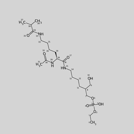 CCOP(=O)(O)OCC(CO)CCCCNC(=O)[C@H](CCCCNC(=O)C(C)C)NC(C)=O